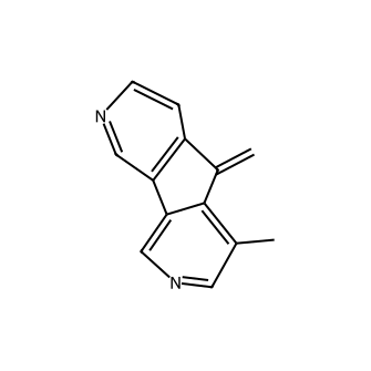 C=C1c2ccncc2-c2cncc(C)c21